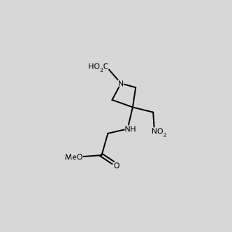 COC(=O)CNC1(C[N+](=O)[O-])CN(C(=O)O)C1